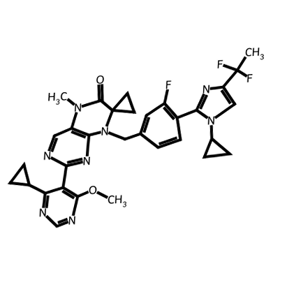 COc1ncnc(C2CC2)c1-c1ncc2c(n1)N(Cc1ccc(-c3nc(C(C)(F)F)cn3C3CC3)c(F)c1)C1(CC1)C(=O)N2C